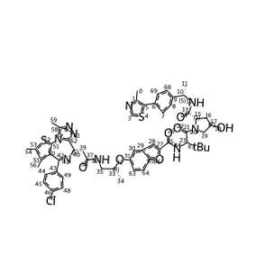 Cc1ncsc1-c1ccc([C@H](C)NC(=O)[C@@H]2C[C@@H](O)CN2C(=O)C(NC(=O)c2cc3cc(O[C@H](C)CNC(=O)C[C@@H]4N=C(c5ccc(Cl)cc5)c5c(sc(C)c5C)-n5c(C)nnc54)ccc3o2)C(C)(C)C)cc1